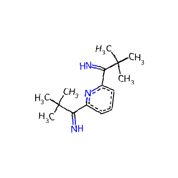 CC(C)(C)C(=N)c1cccc(C(=N)C(C)(C)C)n1